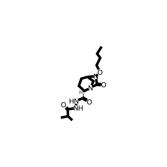 CCCCON1C(=O)N2CC1CC[C@H]2C(=O)NNC(=O)C(C)C